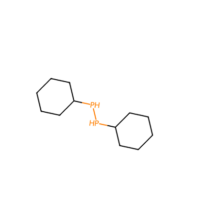 C1CCC(PPC2CCCCC2)CC1